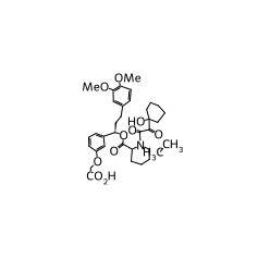 CC.COc1ccc(CC[C@@H](OC(=O)C2CCCCN2C(=O)C(=O)C2(O)CCCCC2)c2cccc(OCC(=O)O)c2)cc1OC